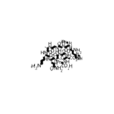 CC(C)C[C@H](NC(=O)[C@@H](N)Cc1c[nH]cn1)C(=O)NCC(=O)NCC(=O)N[C@@H](C)C(=O)N[C@@H](CCCCN)C(=O)N[C@@H](CCC(N)=O)C(=O)N[C@@H](C)C(=O)NCC(=O)N[C@@H](CC(=O)O)C(=O)N[C@H](C(=O)O)C(C)C